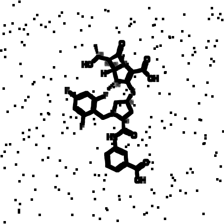 C[C@@H](O)[C@H]1C(=O)N2C(C(=O)O)=C(S[C@H]3C[C@@H](C(=O)Nc4cccc(C(=O)O)c4)N(Cc4c(F)cc(F)cc4F)C3)[C@H](C)[C@H]12